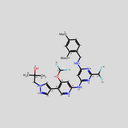 COc1ccc(CNc2cc(Nc3cc(OC(F)F)c(-c4cnn(CC(C)(C)O)c4)cn3)nc(C(F)F)n2)c(OC)c1